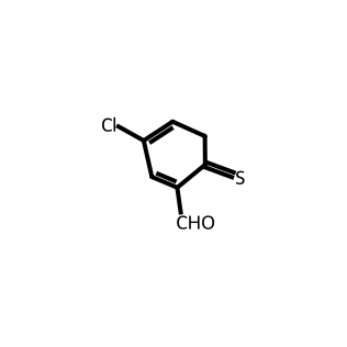 O=CC1=CC(Cl)=CCC1=S